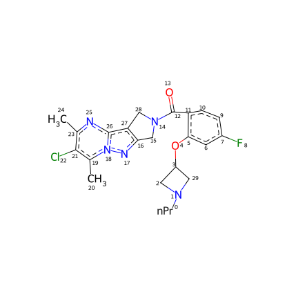 CCCN1CC(Oc2cc(F)ccc2C(=O)N2Cc3nn4c(C)c(Cl)c(C)nc4c3C2)C1